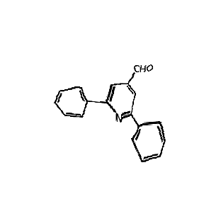 O=Cc1cc(-c2ccccc2)nc(-c2ccccc2)c1